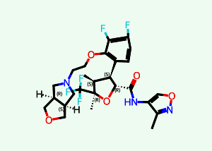 Cc1nocc1NC(=O)[C@@H]1O[C@@](C)(C(F)(F)F)[C@@H](C)[C@H]1c1ccc(F)c(F)c1OCCN1C[C@H]2COC[C@H]2C1